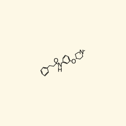 CN1CCC(Oc2cccc(NC(=O)CCc3ccccc3)c2)CC1